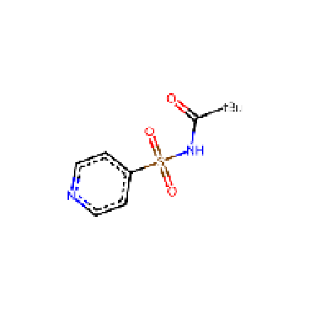 CC(C)(C)C(=O)NS(=O)(=O)c1ccncc1